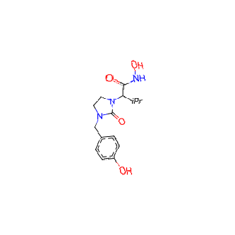 CC(C)C(C(=O)NO)N1CCN(Cc2ccc(O)cc2)C1=O